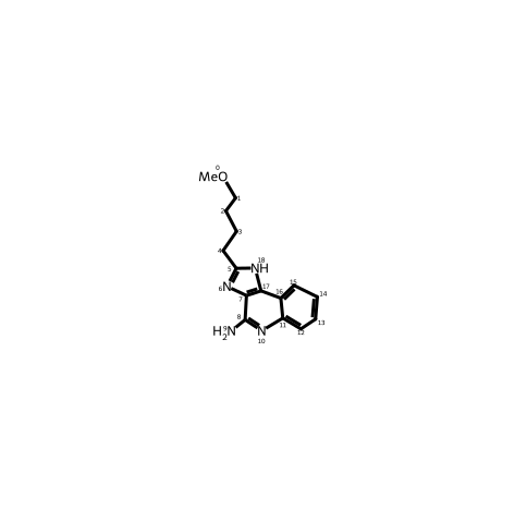 COCCCCc1nc2c(N)nc3ccccc3c2[nH]1